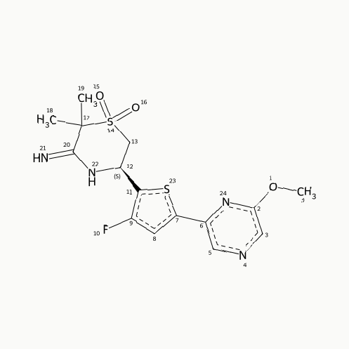 COc1cncc(-c2cc(F)c([C@@H]3CS(=O)(=O)C(C)(C)C(=N)N3)s2)n1